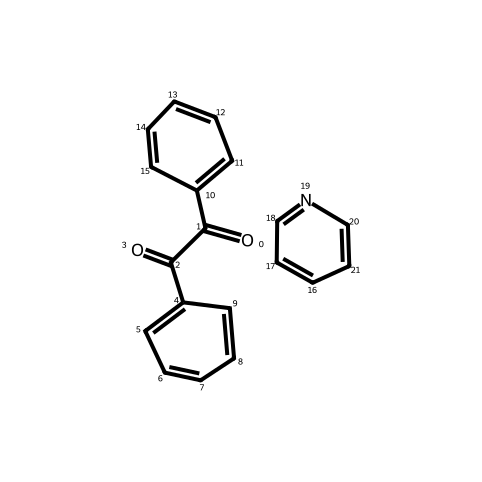 O=C(C(=O)c1ccccc1)c1ccccc1.c1ccncc1